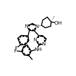 Cc1cc(F)ccc1Nc1nccc(-c2c(-c3ccc(F)cc3)ncn2[C@H]2CC[C@](C)(O)CC2)n1